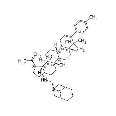 C=C(C)[C@@H]1CC[C@]2(NCCN3C4CCCC3COC4)CC[C@]3(C)[C@H](CC[C@@H]4[C@@]5(C)CC=C(c6ccc(C)cc6)C(C)(C)[C@@H]5CC[C@]43C)[C@@H]12